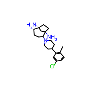 Cc1ccc(Cl)cc1C1CCN(C2CCC[C@@]3(N)CC[C@@]2(N)C3)CC1